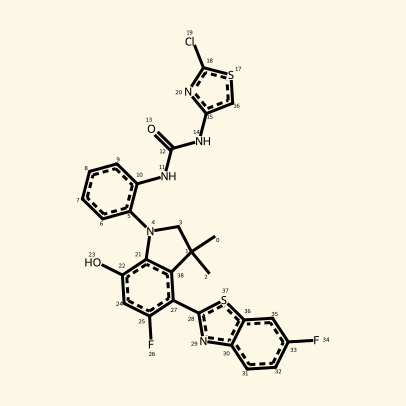 CC1(C)CN(c2ccccc2NC(=O)Nc2csc(Cl)n2)c2c(O)cc(F)c(-c3nc4ccc(F)cc4s3)c21